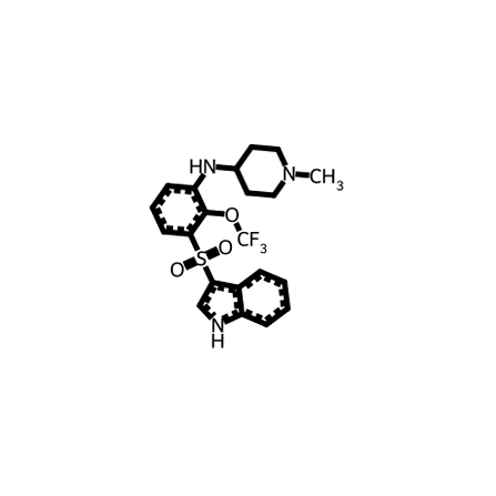 CN1CCC(Nc2cccc(S(=O)(=O)c3c[nH]c4ccccc34)c2OC(F)(F)F)CC1